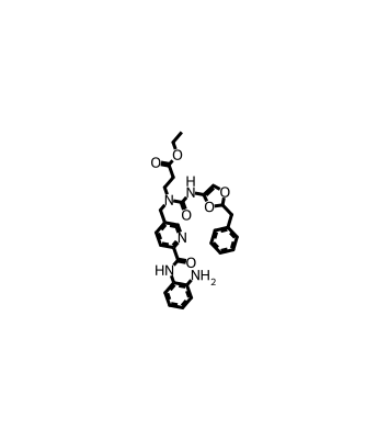 CCOC(=O)CCN(Cc1ccc(C(=O)Nc2ccccc2N)nc1)C(=O)NC1=COC(Cc2ccccc2)O1